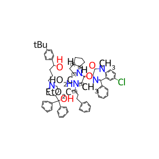 CC(C)(C)c1ccc(C(O)CCCN2CCC(C(O)(c3ccccc3)c3ccccc3)CC2)cc1.CCOC(=O)[C@H](CCc1ccccc1)N[C@@H](C)C(=O)N1[C@H](C(=O)O)C[C@@H]2CCC[C@@H]21.CN1C(=O)CN=C(c2ccccc2)c2cc(Cl)ccc21